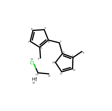 CC1=C(CC2=C(C)C=CC2)CC=C1.CCCl.[Hf]